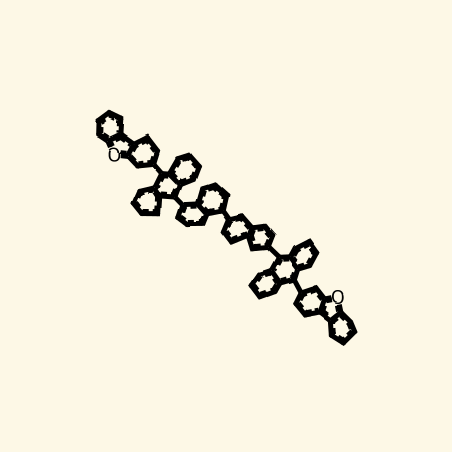 c1ccc2c(c1)oc1cc(-c3c4ccccc4c(-c4ccc5cc(-c6cccc7c(-c8c9ccccc9c(-c9ccc%10c(c9)oc9ccccc9%10)c9ccccc89)cccc67)ccc5c4)c4ccccc34)ccc12